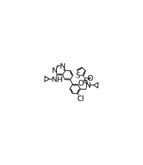 O=S(=O)(c1cccs1)N(Cc1cc(-c2ccc3ncnc(NC4CC4)c3c2)ccc1Cl)C1CC1